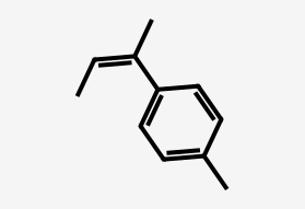 C/C=C(/C)c1ccc(C)cc1